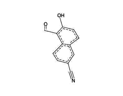 N#Cc1ccc2c(C=O)c(O)ccc2c1